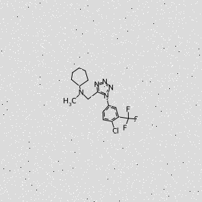 CN(Cc1nnnn1-c1ccc(Cl)c(C(F)(F)F)c1)C1CCCCC1